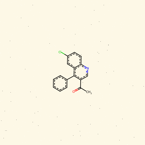 CC(=O)c1cnc2ccc(Cl)cc2c1-c1ccccc1